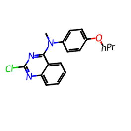 CCCOc1ccc(N(C)c2nc(Cl)nc3ccccc23)cc1